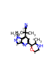 CC1NCCOC1c1cc(C(C)(C)C#N)c2c(cnn2C)n1